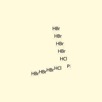 Br.Br.Br.Br.Br.Br.Br.Cl.Cl.[P]